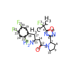 CC(C)(F)c1nc(C2CCCN2C(=O)CC(N)Cc2cc(F)c(F)cc2F)no1